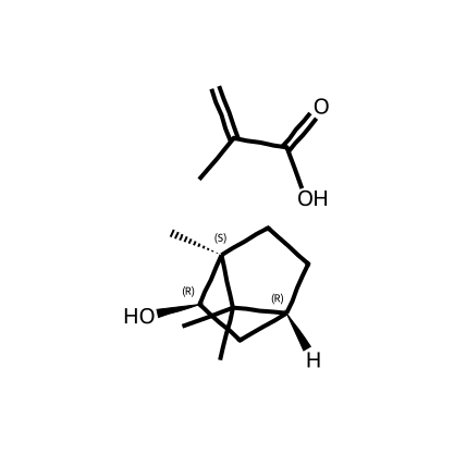 C=C(C)C(=O)O.CC1(C)[C@@H]2CC[C@]1(C)[C@H](O)C2